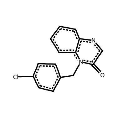 O=c1cnc2ccccc2n1Cc1ccc(Cl)cc1